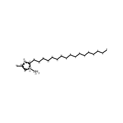 CCCCCCCCCCCCCCCCCc1nc(C)cn1N